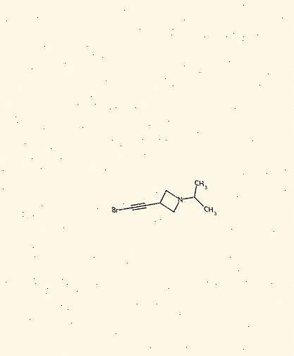 CC(C)N1CC(C#CBr)C1